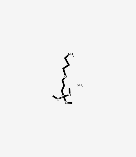 CO[Si](CCCOCCCN)(OC)OC.[SiH4]